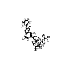 C=CC(=O)OCC(C)(COc1ccc2cc(-c3cccnc3)sc2c1)C(F)(F)F